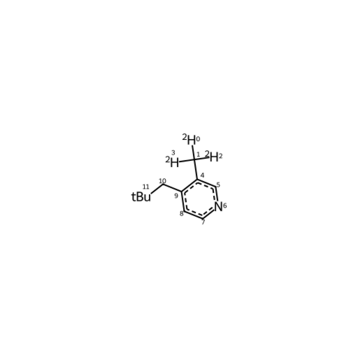 [2H]C([2H])([2H])c1cnccc1CC(C)(C)C